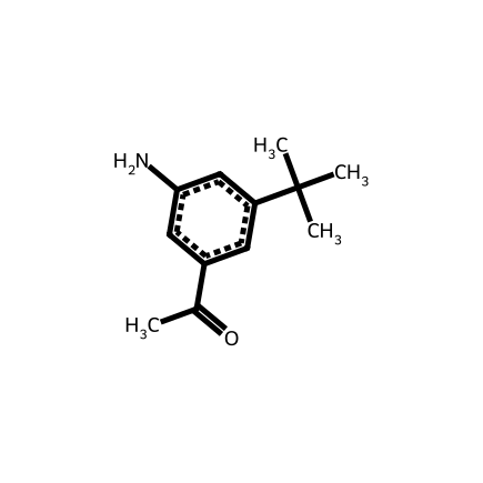 CC(=O)c1cc(N)cc(C(C)(C)C)c1